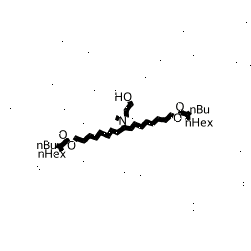 CCCCCCC(CCCC)C(=O)OCCCCCCCCC(CCCCCCCCOC(=O)C(CCCC)CCCCCC)N(C)CCCO